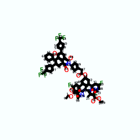 CCOC(=O)C1=C(C)/C(=C(/c2[nH]c(C)c(C(=O)OCC)c2C)c2c(-c3cc(F)cc(F)c3)cc(OC(=O)Cc3ccc(-n4c(=O)c5cc(-c6ccc(C(F)(F)F)cc6)c6oc7ccccc7c7c(-c8ccc(C(F)(F)F)cc8)cc(c4=O)c5c67)cc3)cc2-c2cc(F)cc(F)c2)N=C1C